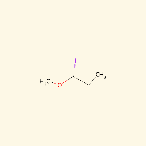 CC[C@@H](I)OC